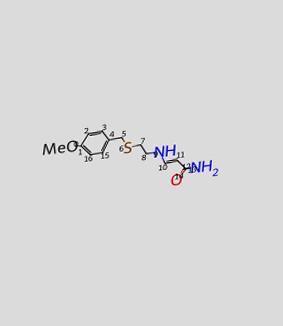 COc1ccc(CSCCNC=CC(N)=O)cc1